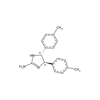 Cc1ccc([C@H]2N=C(N)N[C@@H]2c2ccc(C)cc2)cc1